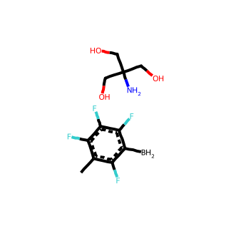 Bc1c(F)c(C)c(F)c(F)c1F.NC(CO)(CO)CO